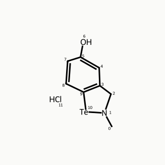 CN1Cc2cc(O)ccc2[Te]1.Cl